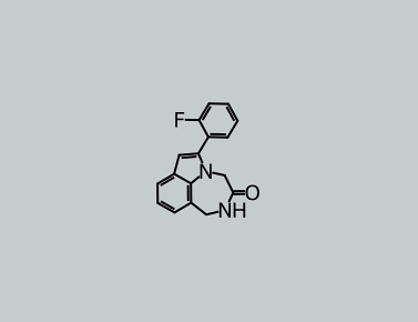 O=C1Cn2c(-c3ccccc3F)cc3cccc(c32)CN1